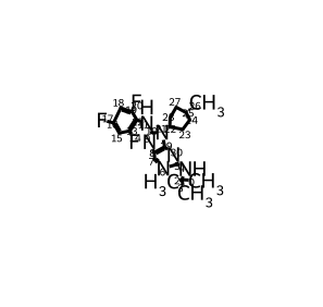 CC(C)(C)Nc1ncc2nc(Nc3c(F)cc(F)cc3F)n([C@H]3CC[C@@H](C)CC3)c2n1